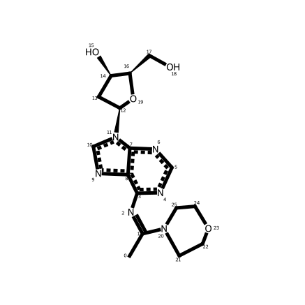 C/C(=N/c1ncnc2c1ncn2[C@H]1C[C@@H](O)[C@@H](CO)O1)N1CCOCC1